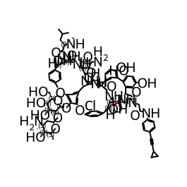 CN[C@H](CC(C)C)C(=O)N[C@H]1C(=O)N[C@@H](CC(N)=O)C(=O)NC2C(=O)N[C@H]3C(=O)N[C@H](C(=O)NC(C(=O)NCC(=O)Nc4ccc(C#CC5CC5)cc4)c4cc(O)cc(O)c4-c4cc3ccc4O)[C@H](O)c3ccc(c(Cl)c3)Oc3cc2cc(c3O[C@@H]2O[C@H](CO)[C@@H](O)[C@H](O)[C@H]2OC2C[C@](C)(N)[C@H](O)[C@H](C)O2)Oc2ccc(cc2)[C@H]1O